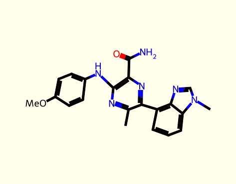 COc1ccc(Nc2nc(C)c(-c3cccc4c3ncn4C)nc2C(N)=O)cc1